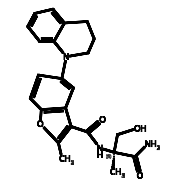 Cc1oc2ccc(N3CCCc4ccccc43)cc2c1C(=O)N[C@@](C)(CO)C(N)=O